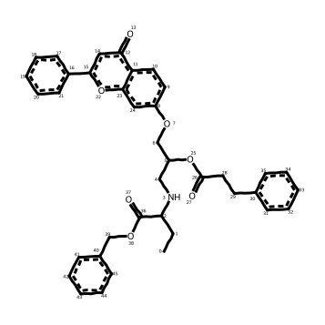 CCC(NCC(COc1ccc2c(=O)cc(-c3ccccc3)oc2c1)OC(=O)CCc1ccccc1)C(=O)OCc1ccccc1